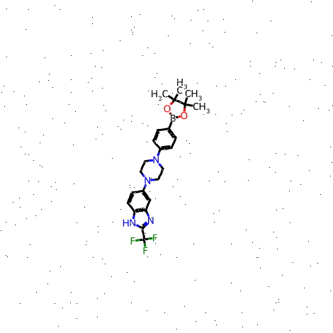 CC1(C)OB(c2ccc(N3CCN(c4ccc5[nH]c(C(F)(F)F)nc5c4)CC3)cc2)OC1(C)C